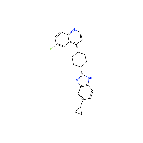 Fc1ccc2nccc([C@H]3CC[C@@H](c4nc5cc(C6CC6)ccc5[nH]4)CC3)c2c1